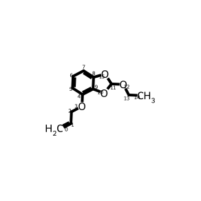 C=CCOc1cccc2c1OC(OCC)O2